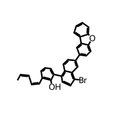 C/C=C\C=C/c1cccc(-c2ccc(Br)c3cc(-c4ccc5oc6ccccc6c5c4)ccc23)c1O